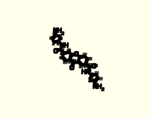 Nc1ccc(NC(=O)c2ccc3c(=O)c4cc(C(=O)Nc5ccc(N)s5)ccc4oc3c2)s1